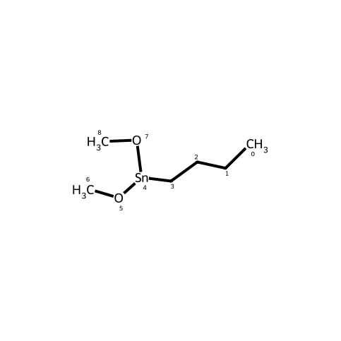 CCC[CH2][Sn]([O]C)[O]C